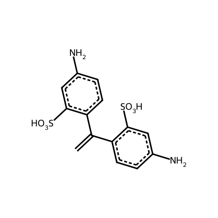 C=C(c1ccc(N)cc1S(=O)(=O)O)c1ccc(N)cc1S(=O)(=O)O